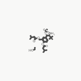 CC(C)CC(=O)OCc1cc(C(OS(C)(=O)=O)C(N)C(C)(C)C)ccc1OC(=O)CC(C)C.CCO